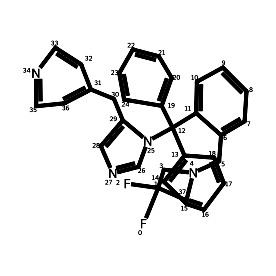 FC1(F)CN(Cc2ccccc2C(c2ccccc2)(c2ccccc2)n2cncc2Cc2ccncc2)C1